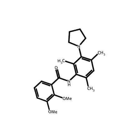 COc1cccc(C(=O)Nc2c(C)cc(C)c(N3CCCC3)c2C)c1OC